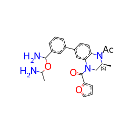 CC(=O)N1c2ccc(-c3cccc(C(N)OC(C)N)c3)cc2N(C(=O)c2ccco2)C[C@@H]1C